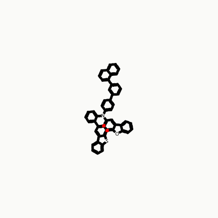 c1cc(-c2ccc(N(c3ccc4oc5ccccc5c4c3)c3ccccc3-c3ccc4sc5ccccc5c4c3)cc2)cc(-c2cccc3ccccc23)c1